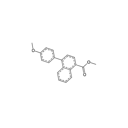 COC(=O)c1ccc(-c2ccc(OC)cc2)c2ccccc12